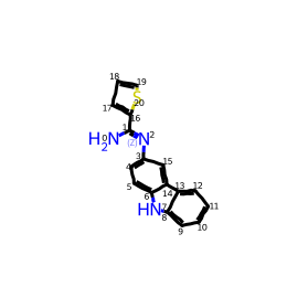 N/C(=N\c1ccc2[nH]c3ccccc3c2c1)c1cccs1